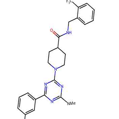 CNc1nc(-c2cccc(F)c2)nc(N2CCC(C(=O)NCc3ccccc3C(F)(F)F)CC2)n1